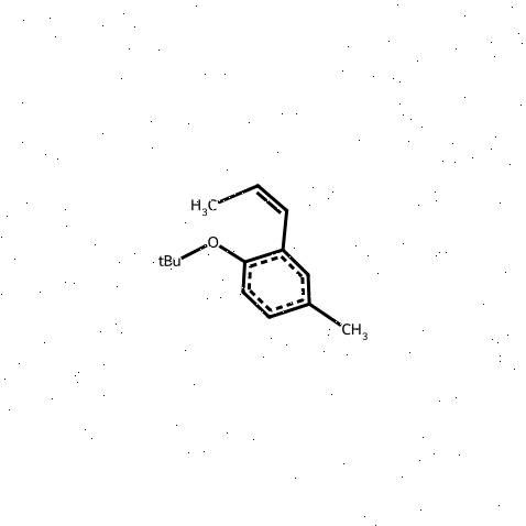 C/C=C\c1cc(C)ccc1OC(C)(C)C